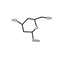 CNC1CC(O)CC(CO)O1